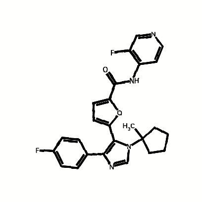 CC1(n2cnc(-c3ccc(F)cc3)c2-c2ccc(C(=O)Nc3ccncc3F)o2)CCCC1